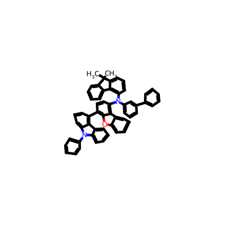 CC1(C)c2ccccc2-c2c(N(c3cccc(-c4ccccc4)c3)c3ccc(-c4cccc5c4c4ccccc4n5-c4ccccc4)c4oc5ccccc5c34)cccc21